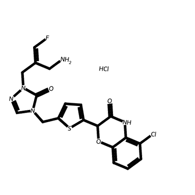 Cl.NC/C(=C\F)Cn1ncn(Cc2ccc(C3Oc4cccc(Cl)c4NC3=O)s2)c1=O